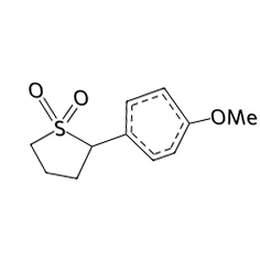 COc1ccc(C2CCCS2(=O)=O)cc1